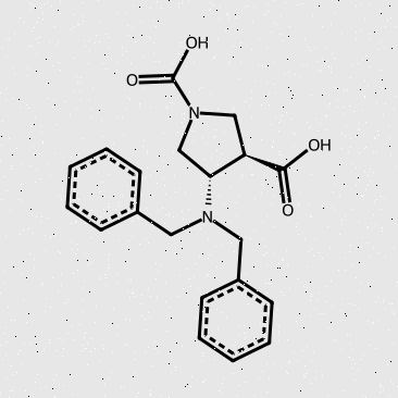 O=C(O)[C@@H]1CN(C(=O)O)C[C@H]1N(Cc1ccccc1)Cc1ccccc1